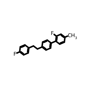 Cc1ccc(-c2ccc(CCc3ccc(F)cc3)cc2)c(F)c1